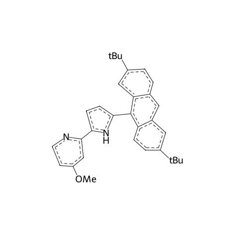 COc1ccnc(-c2ccc(-c3c4ccc(C(C)(C)C)cc4cc4ccc(C(C)(C)C)cc34)[nH]2)c1